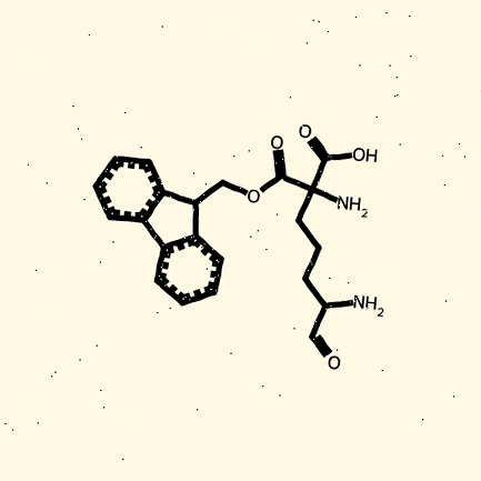 NC(C=O)CCCC(N)(C(=O)O)C(=O)OCC1c2ccccc2-c2ccccc21